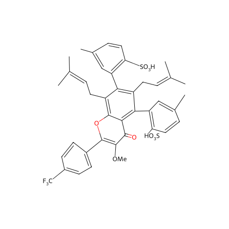 COc1c(-c2ccc(C(F)(F)F)cc2)oc2c(CC=C(C)C)c(-c3cc(C)ccc3S(=O)(=O)O)c(CC=C(C)C)c(-c3cc(C)ccc3S(=O)(=O)O)c2c1=O